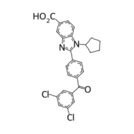 O=C(O)c1ccc2c(c1)nc(-c1ccc(C(=O)c3cc(Cl)cc(Cl)c3)cc1)n2C1CCCC1